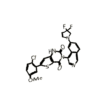 COc1ccc(Cl)c(-c2cc3[nH]c(=O)n(-c4cncc5ccc(N6CCC(F)(F)C6)cc45)c(=O)c3s2)c1